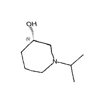 CC(C)N1CCC[C@H](O)C1